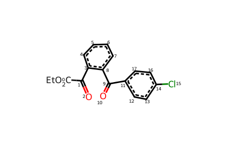 CCOC(=O)C(=O)c1ccccc1C(=O)c1ccc(Cl)cc1